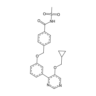 CS(=O)(=O)NC(=O)c1ccc(COc2cccc(-c3ncncc3OCC3CC3)c2)cc1